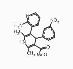 COC(=O)C1=C(C)NC(C)=C(c2cccnc2N)C1c1cccc([N+](=O)[O-])c1